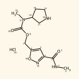 CNC(=O)c1cc(COC(=O)N(C)C2CCNC2)on1.Cl